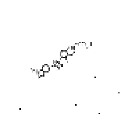 Cc1c(-c2noc(-c3ccc4c(cnn4C(C)C)c3)n2)ccc2c1CCN(CC(=O)O)C2